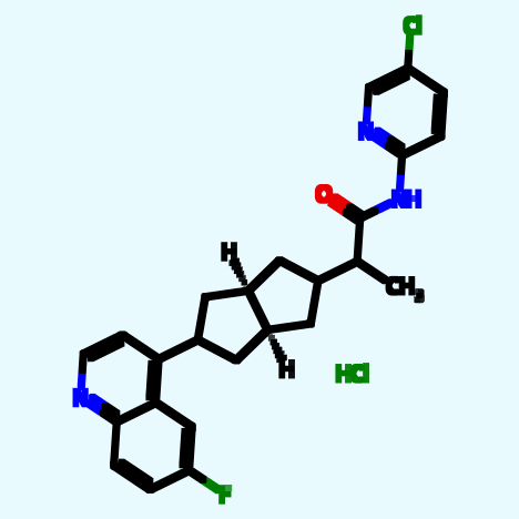 CC(C(=O)Nc1ccc(Cl)cn1)C1C[C@H]2CC(c3ccnc4ccc(F)cc34)C[C@H]2C1.Cl